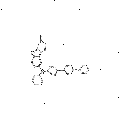 C1=Cc2c(oc3ccc(N(c4ccccc4)c4ccc(-c5ccc(-c6ccccc6)cc5)cc4)cc23)CN1